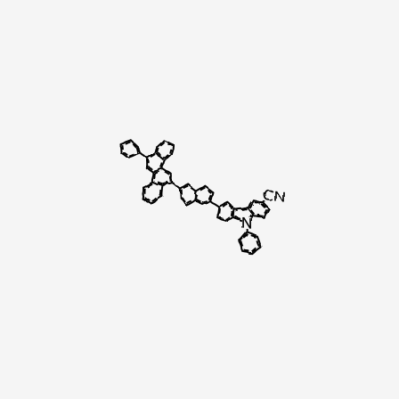 N#Cc1ccc2c(c1)c1cc(-c3ccc4cc(-c5cc6c7ccccc7c(-c7ccccc7)cc6c6ccccc56)ccc4c3)ccc1n2-c1ccccc1